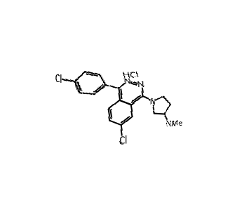 CNC1CCN(c2nnc(-c3ccc(Cl)cc3)c3ccc(Cl)cc23)C1.Cl